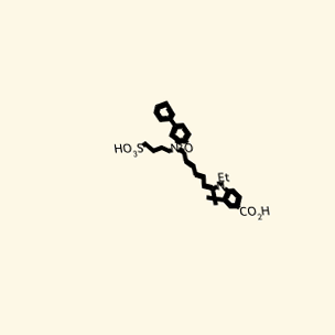 CCN1C(=CC=CC=Cc2oc3ccc(-c4ccccc4)cc3[n+]2CCCCS(=O)(=O)O)C(C)(C)c2cc(C(=O)O)ccc21